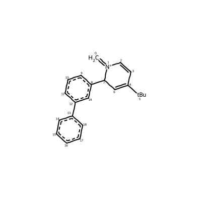 C=[N+]1C=CC(C(C)(C)C)=CC1c1cccc(-c2ccccc2)c1